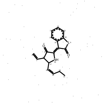 C=CC1C(=O)/C(=C2/C(=O)Sc3ccccc32)NC1/C=C\CC